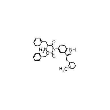 CN1CCC[C@@H]1Cc1c[nH]c2ccc(N(C(=O)OCc3ccccc3)C(=O)[C@@H](N)Cc3ccccc3)cc12